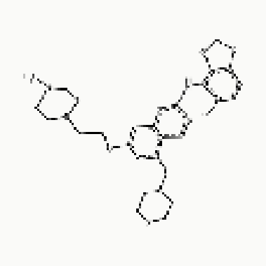 CN1CCN(CCOc2cc(OC3CCOCC3)c3cnc(Nc4c(Cl)ccc5c4OCO5)nc3c2)CC1